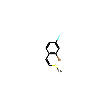 N#CS/C=C\c1ccc(F)cc1Br